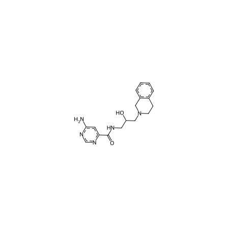 Nc1cc(C(=O)NCC(O)CN2CCc3ccccc3C2)ncn1